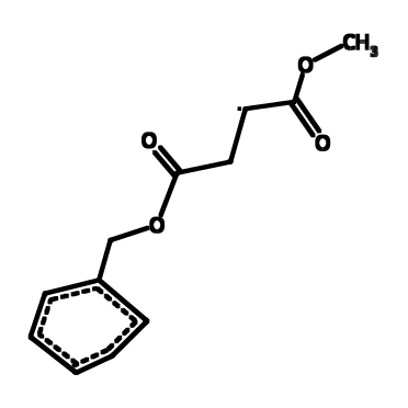 COC(=O)[CH]CC(=O)OCc1ccccc1